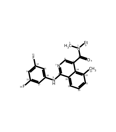 CCN(C)C(=O)c1cnc(Nc2cc(F)cc(F)c2)c2cccc(C)c12